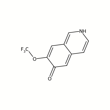 O=c1cc2cc[nH]cc-2cc1OC(F)(F)F